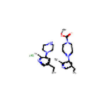 CC(C)Cc1cnc(C#N)c(N2CCN(C(=O)OC(C)(C)C)CC2)c1.CC(C)Cc1cnc(C#N)c(N2CCNCC2)c1.Cl